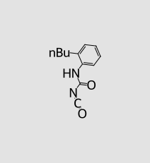 CCCCc1ccccc1NC(=O)N=C=O